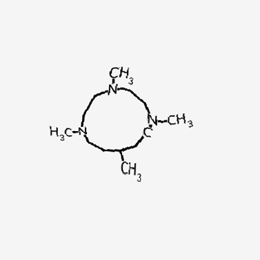 CC1CCN(C)CCN(C)CCN(C)CC1